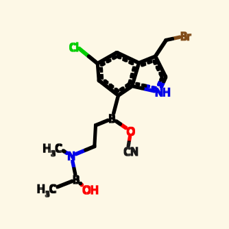 CB(O)N(C)CCB(OC#N)c1cc(Cl)cc2c(CBr)c[nH]c12